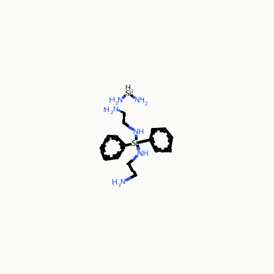 NCCN[Si](NCCN)(c1ccccc1)c1ccccc1.N[SiH2]N